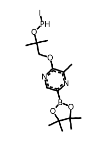 Cc1nc(B2OC(C)(C)C(C)(C)O2)cnc1OCC(C)(C)OPI